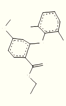 CCNC(=O)c1ccc(OC)cc1Oc1c(C)cccc1C